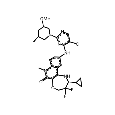 CO[C@@H]1C[C@H](C)CN(c2ncc(Cl)c(Nc3ccc4c(c3)c3c(c(=O)n4C)OCC(F)(F)[C@H](C4CC4)N3)n2)C1